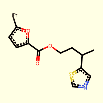 CC(C)c1ccc(C(=O)OCCC(C)c2cncs2)o1